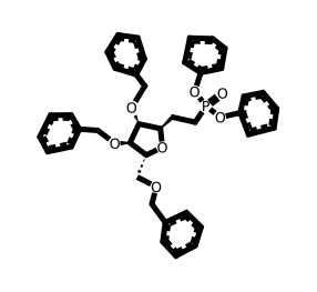 O=P(CC[C@H]1O[C@H](COCc2ccccc2)[C@@H](OCc2ccccc2)[C@@H]1OCc1ccccc1)(Oc1ccccc1)Oc1ccccc1